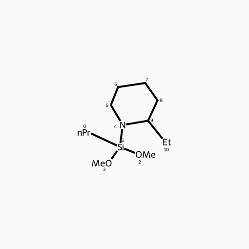 CCC[Si](OC)(OC)N1CCCCC1CC